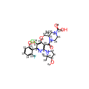 COC1CCN(c2nc(-c3c(O)cccc3F)c(Cl)c3c2C(=O)N2CCN(C(=O)O)C[C@@H]2CO3)C1(C)C